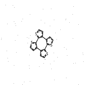 c1cc2c(s1)-c1sccc1-c1ccsc1-c1sccc1-2